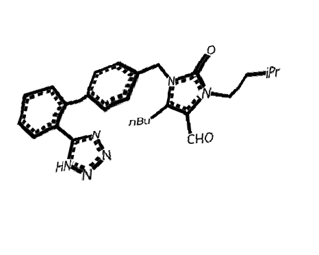 CCCCc1c(C=O)n(CCC(C)C)c(=O)n1Cc1ccc(-c2ccccc2-c2nnn[nH]2)cc1